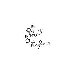 CC(C)c1cnn2c(Nc3cccc(C(=O)NC4CCCN(C(=O)/C=C/CN(C)C)C4)c3)nc(OC3CCN(C)CC3)nc12